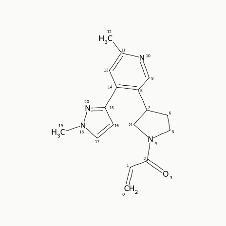 C=CC(=O)N1CCC(c2cnc(C)cc2-c2ccn(C)n2)C1